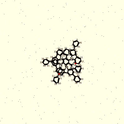 c1ccc(-c2ccc3c(c2)c2ccccc2n3-c2c(-c3ccccn3)c(-n3c4ccccc4c4cc(-c5ccccc5)ccc43)c(-n3c4ccccc4c4cc(-c5ccccc5)ccc43)c(-n3c4ccccc4c4cc(-c5ccccc5)ccc43)c2-c2nc3ccccc3o2)cc1